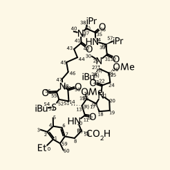 CCC1=C(C)C(C)C=C(C[C@H](NC(=O)[C@H](C)[C@@H](OC)[C@@H]2CCCN2C(=O)C[C@@H](OC)[C@H]([C@@H](C)CC)N(C)C(=O)[C@@H](NC(=O)[C@H](C(C)C)N(C)C(=O)CCCCCN2C(=O)CC(SC(C)CC)C2=O)C(C)C)C(=O)O)C1C